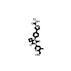 CCNC(=O)n1cc(-c2ccc(N3C(=S)N(c4cnc(C=N)c(C)c4)C(=O)C34CCC4)cc2)cn1